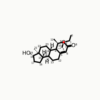 CCOC[C@@]12C(=CC(=O)C[C@@H]1C)CC[C@H]1[C@@H]3CC[C@H](O)[C@@]3(C)CC[C@@H]12